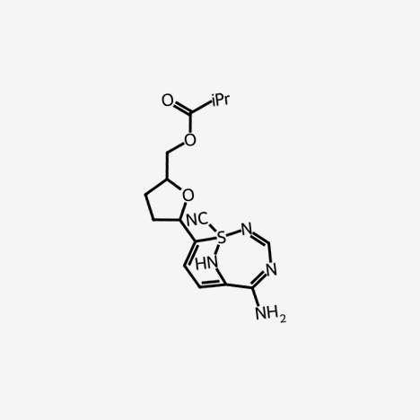 CC(C)C(=O)OCC1CCC(C2=CC=C3NS2(C#N)N=CN=C3N)O1